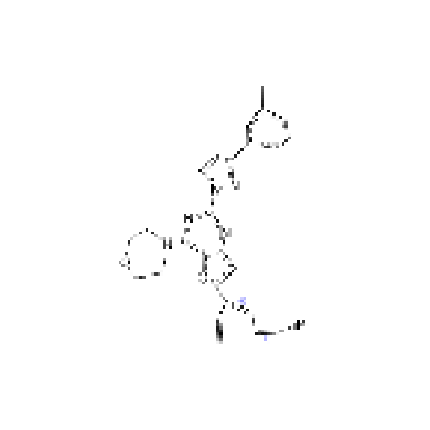 C=C/C(=C\C=C/C(C)C)c1cc2nc(-n3ccc(-c4cccc(C)c4)n3)nc(N3CCOCC3)c2o1